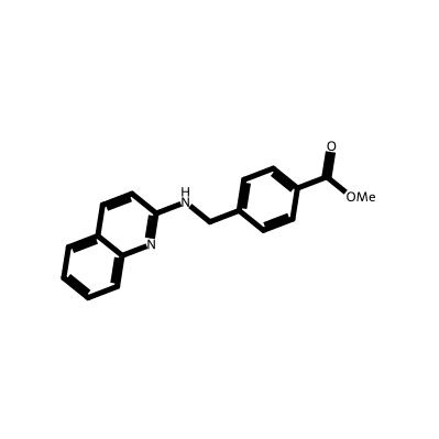 COC(=O)c1ccc(CNc2ccc3ccccc3n2)cc1